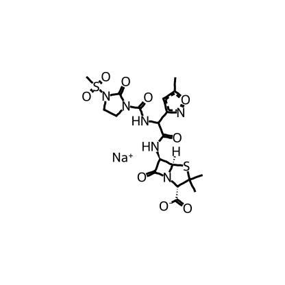 Cc1cc(C(NC(=O)N2CCN(S(C)(=O)=O)C2=O)C(=O)N[C@@H]2C(=O)N3[C@@H]2SC(C)(C)[C@@H]3C(=O)[O-])no1.[Na+]